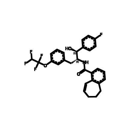 O=C(N[C@H](Cc1cccc(OC(F)(F)C(F)F)c1)[C@@H](O)c1ccc(F)cc1)c1cccc2c1C=CCCC2